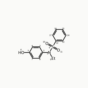 CCN(c1ccc(O)cc1)S(=O)(=O)c1ccccc1